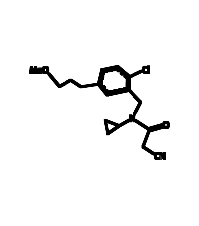 COCCCc1ccc(Cl)c(CN(C(=O)CC#N)C2CC2)c1